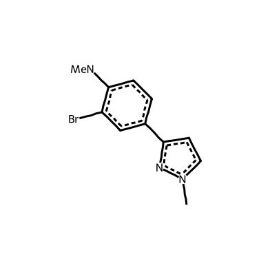 CNc1ccc(-c2ccn(C)n2)cc1Br